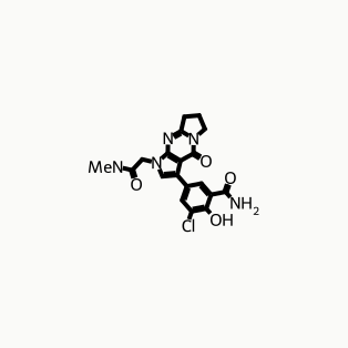 CNC(=O)Cn1cc(-c2cc(Cl)c(O)c(C(N)=O)c2)c2c(=O)n3c(nc21)CCC3